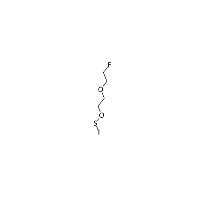 FCCOCCOSI